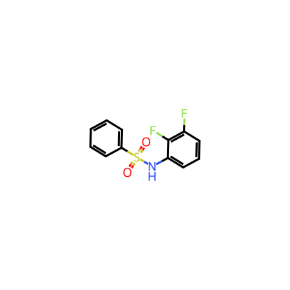 O=S(=O)(Nc1cccc(F)c1F)c1ccccc1